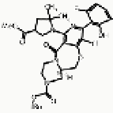 COC(=O)C1CN(c2nc(-c3c(O)cccc3F)c(Cl)c3c2C(=O)N2CCN(C(=O)OC(C)(C)C)C[C@@H]2CO3)C(C)(C)C1